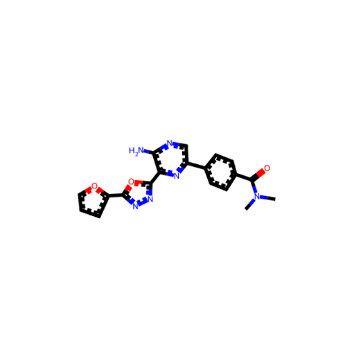 CN(C)C(=O)c1ccc(-c2cnc(N)c(-c3nnc(-c4ccco4)o3)n2)cc1